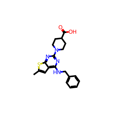 Cc1cc2c(NCc3ccccc3)nc(N3CCC(C(=O)O)CC3)nc2s1